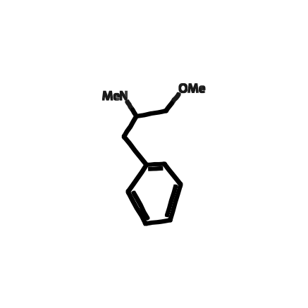 CNC(COC)Cc1ccccc1